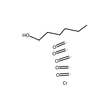 CCCCC[C]O.[C]=O.[C]=O.[C]=O.[C]=O.[C]=O.[Cr]